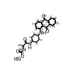 C[C@H](NC(=O)OC(C)(C)C)C(=O)NC1CCC(Nc2cccc3c2C(=O)c2ccccc2C3=O)CC1